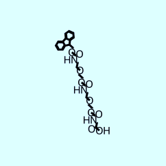 O=C(O)CNC(=O)OCCOCCNC(=O)OCCOCCNC(=O)OCC1c2ccccc2-c2ccccc21